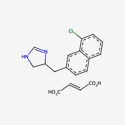 Clc1cccc2ccc(CC3CNC=N3)cc12.O=C(O)/C=C/C(=O)O